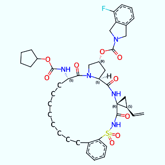 C=C[C@@H]1C[C@@]12NC(=O)[C@@H]1C[C@@H](OC(=O)N3Cc4cccc(F)c4C3)CN1C(=O)[C@@H](NC(=O)OC1CCCC1)CCCCCCCCc1ccccc1S(=O)(=O)NC2=O